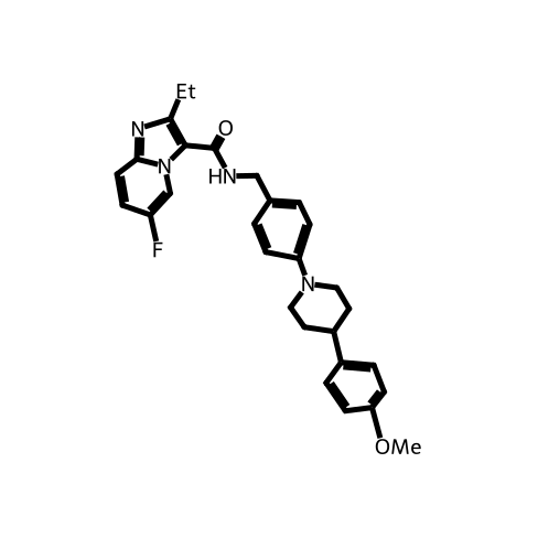 CCc1nc2ccc(F)cn2c1C(=O)NCc1ccc(N2CCC(c3ccc(OC)cc3)CC2)cc1